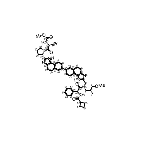 COC[C@@H](C)CN(Cc1nc2ccc3cc(-c4ccc5c(ccc6nc([C@@H]7CCCN7C(=O)[C@@H](NC(=O)OC)C(C)C)[nH]c65)c4)ccc3c2[nH]1)C(=O)[C@H](NC(=O)C1CCC1)c1ccccc1